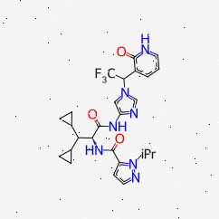 CC(C)n1nccc1C(=O)N[C@H](C(=O)Nc1cn(C(c2ccc[nH]c2=O)C(F)(F)F)cn1)C(C1CC1)C1CC1